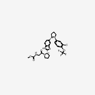 COC(=O)NCC(=O)N1CCC[C@H]1c1nc2cc([C@H]3CCCN3c3ccc(OC(F)(F)F)c(Cl)c3)ccc2[nH]1